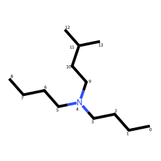 CCCCN(CCCC)CCC(C)C